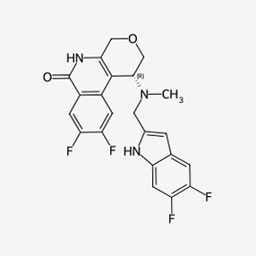 CN(Cc1cc2cc(F)c(F)cc2[nH]1)[C@H]1COCc2[nH]c(=O)c3cc(F)c(F)cc3c21